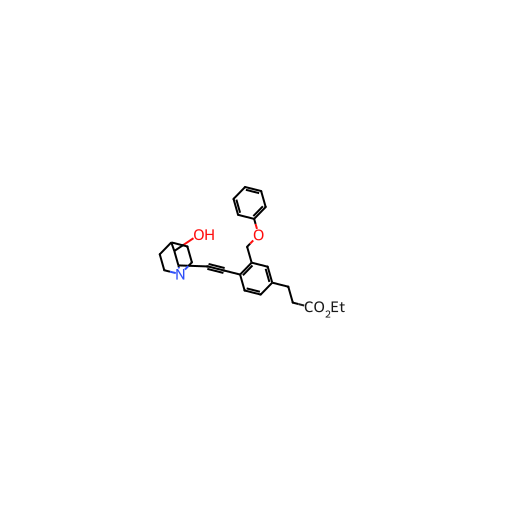 CCOC(=O)CCc1ccc(C#CC2C(O)C3CCN2CC3)c(COc2ccccc2)c1